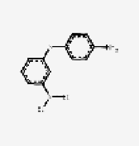 CCN(CC)c1cccc(Sc2ccc(N)cc2)c1